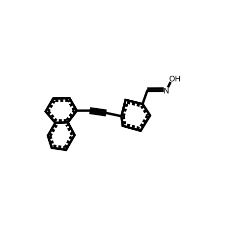 ON=Cc1cccc(C#Cc2cccc3ccccc23)c1